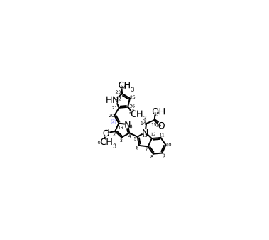 COC1=CC(c2cc3ccccc3n2CC(=O)O)=N/C1=C\c1[nH]c(C)cc1C